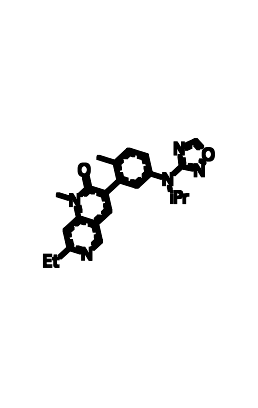 CCc1cc2c(cn1)cc(-c1cc(N(c3ncon3)C(C)C)ccc1C)c(=O)n2C